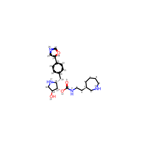 O=C(NCC[C@H]1CCCCNC1)O[C@@H]1[C@@H](O)CN[C@@H]1Cc1ccc(-c2cnco2)cc1